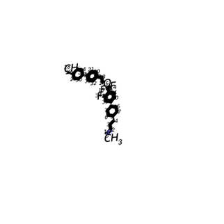 C/C=C/CC[C@H]1CC[C@H](c2ccc(C(F)(F)OCCc3ccc([C@H]4CC[C@H](CC)CC4)cc3)c(F)c2)CC1